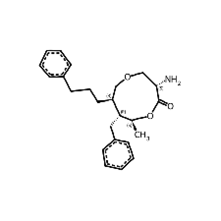 C[C@@H]1OC(=O)[C@@H](N)COC[C@H](CCCc2ccccc2)[C@H]1Cc1ccccc1